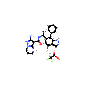 CC(NC(=O)c1c(N)nn2cccnc12)c1cc(Cl)c2cn[nH]c2c1-c1ccccc1.O=C(O)C(F)(F)F